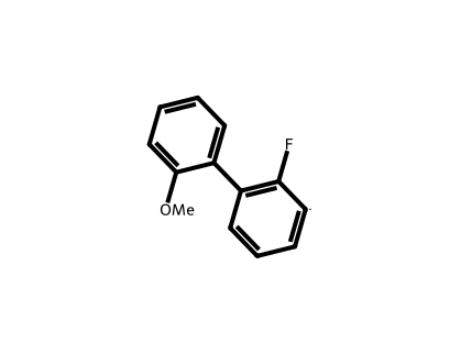 COc1ccccc1-c1ccc[c]c1F